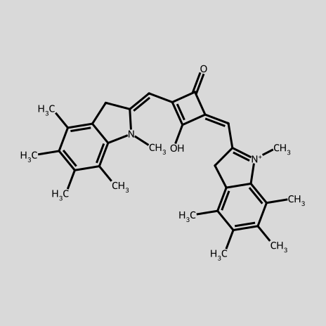 Cc1c(C)c(C)c2c(c1C)CC(=CC1=C(O)C(=CC3=[N+](C)c4c(C)c(C)c(C)c(C)c4C3)C1=O)N2C